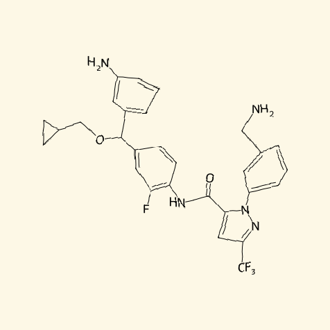 NCc1cccc(-n2nc(C(F)(F)F)cc2C(=O)Nc2ccc(C(OCC3CC3)c3cccc(N)c3)cc2F)c1